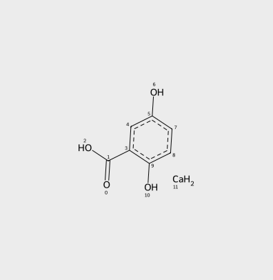 O=C(O)c1cc(O)ccc1O.[CaH2]